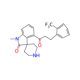 CN1C(=O)C2(CCNCC2)c2c(C(=O)CCc3ccccc3C(F)(F)F)cccc21